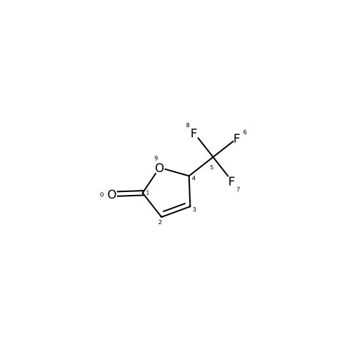 O=C1C=CC(C(F)(F)F)O1